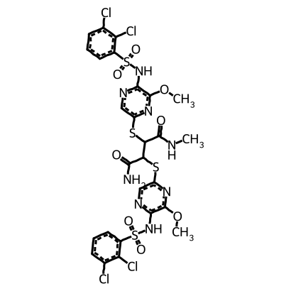 CNC(=O)C(Sc1cnc(NS(=O)(=O)c2cccc(Cl)c2Cl)c(OC)n1)C(Sc1cnc(NS(=O)(=O)c2cccc(Cl)c2Cl)c(OC)n1)C(N)=O